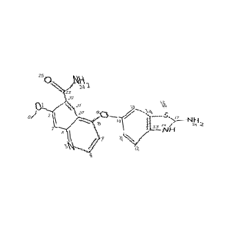 COc1cc2nccc(Oc3ccc4c(c3)SC(N)N4)c2cc1C(N)=O